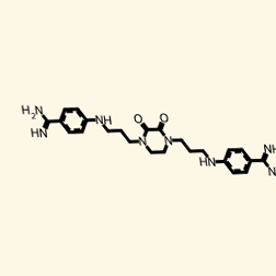 N=C(N)c1ccc(NCCCN2CCN(CCCNc3ccc(C(=N)N)cc3)C(=O)C2=O)cc1